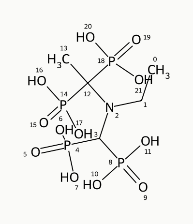 CCN(C(P(=O)(O)O)P(=O)(O)O)C(C)(P(=O)(O)O)P(=O)(O)O